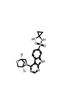 N#CC1(NS(=O)(=O)c2ccc3c(c2)[nH]c2ncnc(N4C[C@H]5C[C@@H]4CO5)c23)CC1